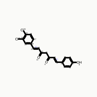 O=C(/C=C/c1ccc(O)cc1)CC(=O)/C=C/c1ccc(Cl)c(Cl)c1